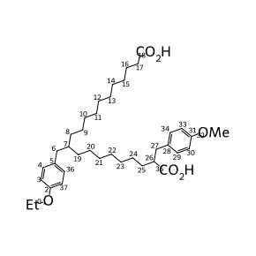 CCOc1ccc(CC(CCCCCCCCCCC(=O)O)CCCCCCCC(Cc2ccc(OC)cc2)C(=O)O)cc1